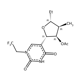 CC[C@H]1O[C@@H](c2cn(CC(F)(F)F)c(=O)[nH]c2=O)[C@H](OC(C)=O)[C@@H]1C